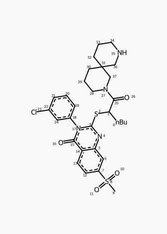 CCCCC(Sc1nc2cc(S(C)(=O)=O)ccc2c(=O)n1-c1cccc(Cl)c1)C(=O)N1CCCC2(CCCNC2)C1